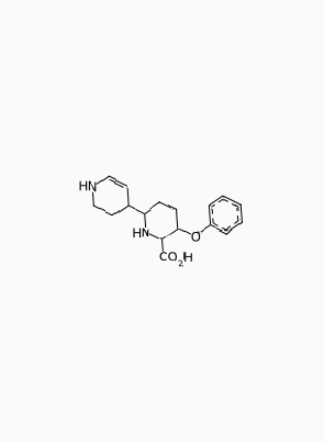 O=C(O)C1NC(C2C=CNCC2)CCC1Oc1ccccc1